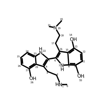 CNCCc1c(-c2[nH]c3c(O)ccc(O)c3c2CCN(C)C)[nH]c2cccc(O)c12